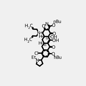 C=CCN(CC=C)[C@@H]1c2onc(OCCCC)c2C(=O)[C@@]2(O)C(O)=C3C(=O)c4c(OCCCC)cc(C5CCCN5CC)c(Cl)c4C[C@H]3C[C@@H]12